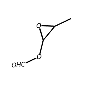 CC1OC1OC=O